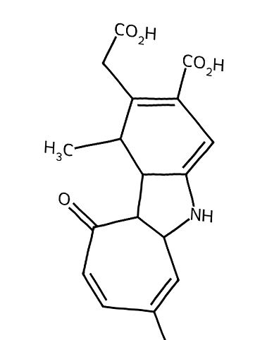 CC1C(CC(=O)O)=C(C(=O)O)C=C2NC3C=C(Cl)C=CC(=O)C3C21